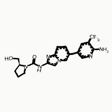 Nc1ncc(-c2ccc3nc(NC(=O)N4CCC[C@H]4CO)cn3c2)cc1C(F)(F)F